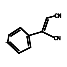 N#CC=C(C#N)c1cc[c]cc1